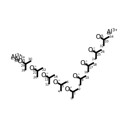 CC(C)[O-].CC(C)[O-].CC(C)[O-].CC(C)[O-].CC(C)[O-].CC(C)[O-].CC(C)[O-].CC(C)[O-].CC(C)[O-].[Al+3].[Al+3].[Al+3]